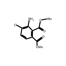 COC(=O)c1ccc(Cl)c(N)c1C(=O)OC(C)(C)C